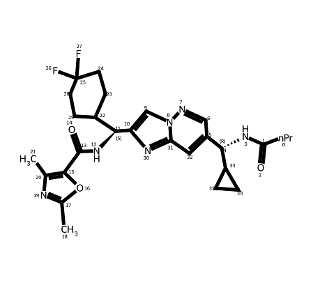 CCCC(=O)N[C@@H](c1cnn2cc([C@@H](NC(=O)c3oc(C)nc3C)C3CCC(F)(F)CC3)nc2c1)C1CC1